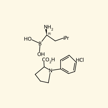 CC(C)C[C@H](N)B(O)O.Cl.O=C(O)C1CCCN1c1ccccc1